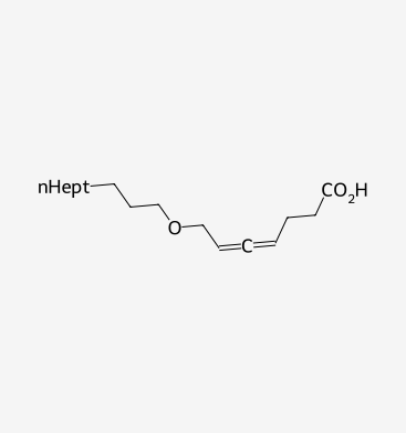 CCCCCCCCCCOCC=C=CCCC(=O)O